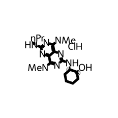 CCCNc1nc(NC)c2nc(N[C@@H]3CCCC[C@@H]3O)nc(NC)c2n1.Cl